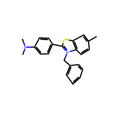 Cc1ccc2c(c1)sc(-c1ccc(N(C)C)cc1)[n+]2Cc1ccccc1